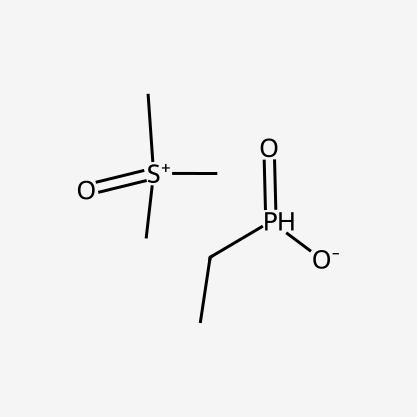 CC[PH](=O)[O-].C[S+](C)(C)=O